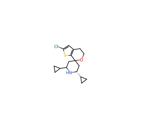 Clc1cc2c(s1)C1(CC(C3CC3)N[C@@H](C3CC3)C1)OCC2